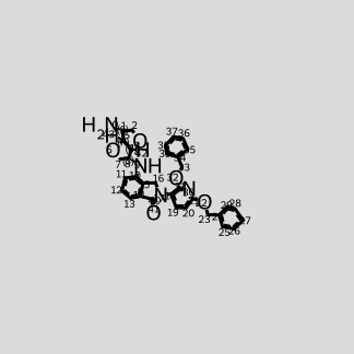 N[C@H]1CO[C@H]2[C@@H]1OC[C@@H]2Nc1cccc2c1CN(c1ccc(OCc3ccccc3)nc1OCc1ccccc1)C2=O